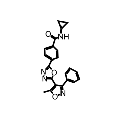 Cc1onc(-c2ccccc2)c1-c1nnc(-c2ccc(C(=O)NC3CC3)cc2)o1